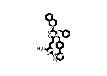 Cc1nc(C=CC(=O)N(Cc2ccc(-c3ncccn3)cc2)[C@@H](Cc2ccccc2)C(=O)N2CCc3ccccc3C2)c(C)o1